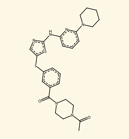 CC(=O)N1CCN(C(=O)c2cccc(Sc3cnc(Nc4cccc(N5CCCCC5)n4)s3)c2)CC1